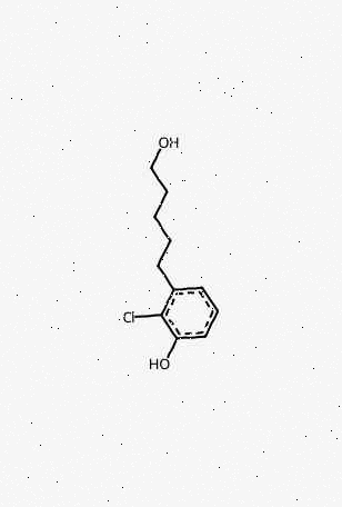 OCCCCCc1cccc(O)c1Cl